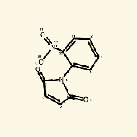 O=C1C=CC(=O)N1c1ccccc1[N+](=O)[O-]